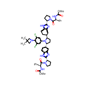 COC(=O)N[C@H](C(=O)N1CCC[C@H]1c1nc2c([nH]1)=CCC([C@H]1CC[C@H](c3ccc4[nH]c([C@@H]5CCCN5C(=O)[C@@H](NC(=O)OC)C(C)C)nc4c3)N1c1cc(F)c(N3CC(C)(C)C3)c(F)c1)C=2)C(C)C